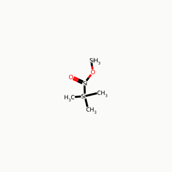 C[Si](C)(C)[Si](=O)O[SiH3]